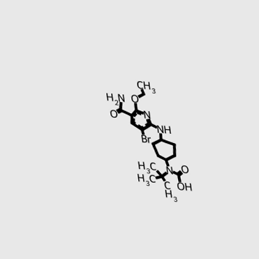 CCOc1nc(NC2CCC(N(C(=O)O)C(C)(C)C)CC2)c(Br)cc1C(N)=O